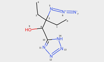 CCC(CC)(N=[N+]=[N-])C(O)c1nnn[nH]1